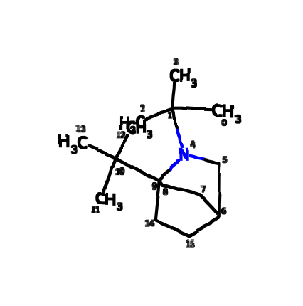 CC(C)(C)N1CC2CCC1(C(C)(C)C)CC2